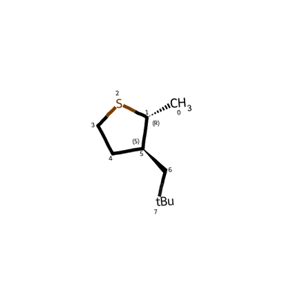 C[C@H]1SCC[C@@H]1CC(C)(C)C